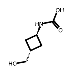 O=C(O)N[C@H]1C[C@H](CO)C1